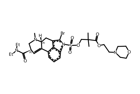 CCN(CC)C(=O)[C@@H]1C=C2c3cccc4c3c(c(Br)n4S(=O)(=O)OCC(C)(C)C(=O)OCCN3CCOCC3)C[C@H]2N(C)C1